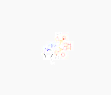 CCOP(=O)(O)C(Nc1cc(C)ccn1)P(=O)(O)OCC